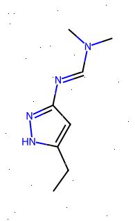 CCc1cc(N=CN(C)C)n[nH]1